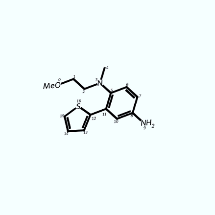 COCCN(C)c1ccc(N)cc1-c1cccs1